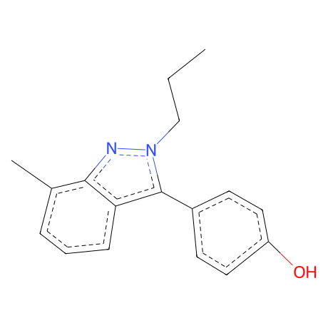 CCCn1nc2c(C)cccc2c1-c1ccc(O)cc1